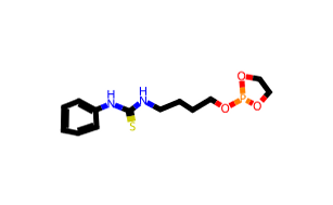 S=C(NCCCCOP1OCCO1)Nc1ccccc1